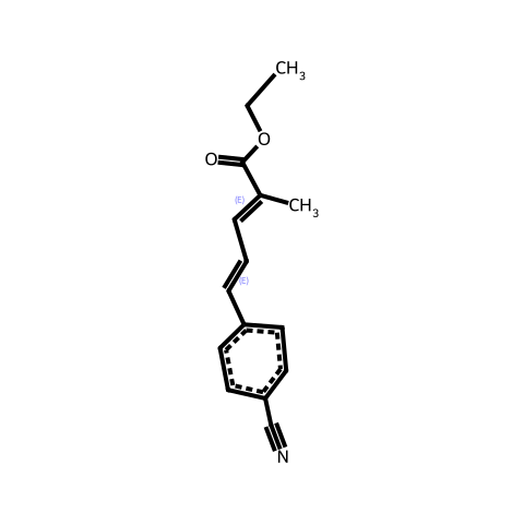 CCOC(=O)/C(C)=C/C=C/c1ccc(C#N)cc1